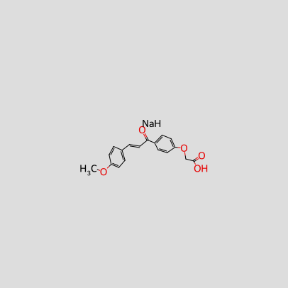 COc1ccc(C=CC(=O)c2ccc(OCC(=O)O)cc2)cc1.[NaH]